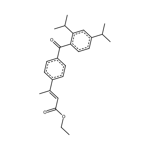 CCOC(=O)C=C(C)c1ccc(C(=O)c2ccc(C(C)C)cc2C(C)C)cc1